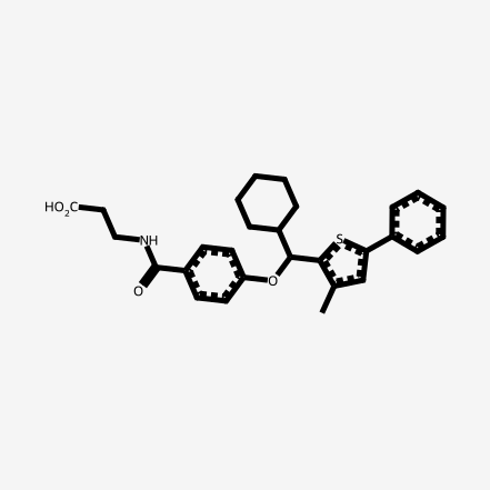 Cc1cc(-c2ccccc2)sc1C(Oc1ccc(C(=O)NCCC(=O)O)cc1)C1CCCCC1